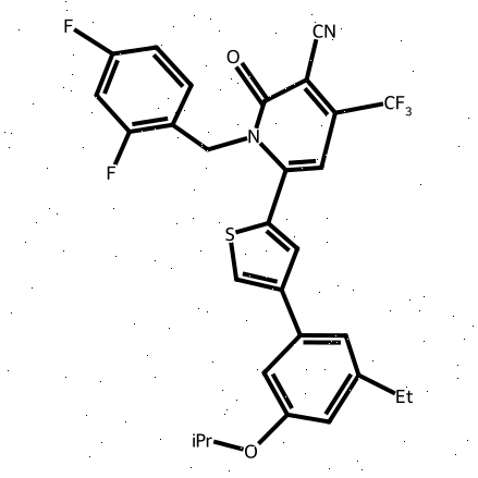 CCc1cc(OC(C)C)cc(-c2csc(-c3cc(C(F)(F)F)c(C#N)c(=O)n3Cc3ccc(F)cc3F)c2)c1